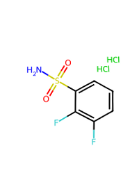 Cl.Cl.NS(=O)(=O)c1cccc(F)c1F